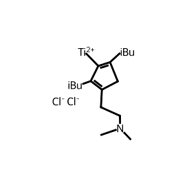 CCC(C)C1=[C]([Ti+2])C(C(C)CC)=C(CCN(C)C)C1.[Cl-].[Cl-]